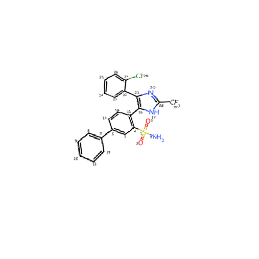 NS(=O)(=O)c1cc(-c2ccccc2)ccc1-c1[nH]c(C(F)(F)F)nc1-c1ccccc1Cl